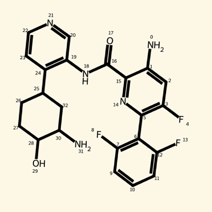 Nc1cc(F)c(-c2c(F)cccc2F)nc1C(=O)Nc1cnccc1C1CCC(O)C(N)C1